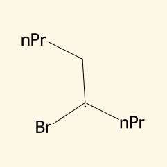 CCCC[C](Br)CCC